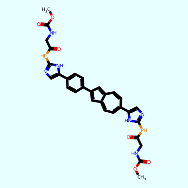 COC(=O)NCC(=O)Pc1ncc(-c2ccc(-c3cc4ccc(-c5cnc(PC(=O)CNC(=O)OC)[nH]5)ccc-4c3)cc2)[nH]1